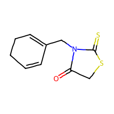 O=C1CSC(=S)N1CC1=CCCC=C1